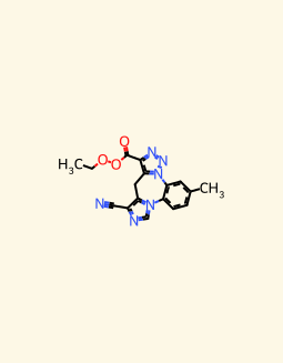 CCOOC(=O)c1nnn2c1Cc1c(C#N)ncn1-c1ccc(C)cc1-2